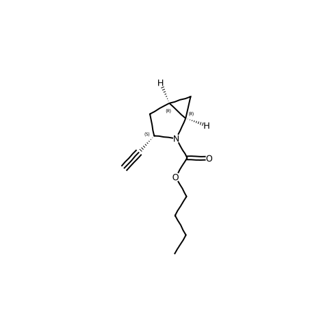 C#C[C@@H]1C[C@H]2C[C@H]2N1C(=O)OCCCC